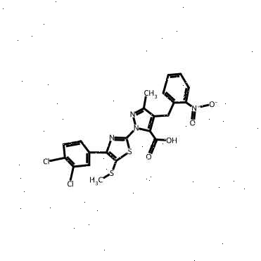 CSc1sc(-n2nc(C)c(Cc3ccccc3[N+](=O)[O-])c2C(=O)O)nc1-c1ccc(Cl)c(Cl)c1